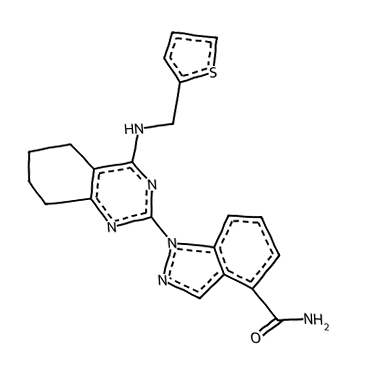 NC(=O)c1cccc2c1cnn2-c1nc2c(c(NCc3cccs3)n1)CCCC2